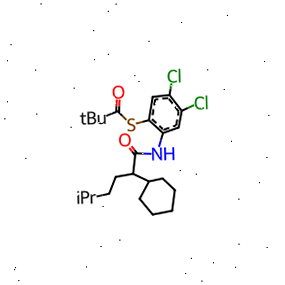 CC(C)CCC(C(=O)Nc1cc(Cl)c(Cl)cc1SC(=O)C(C)(C)C)C1CCCCC1